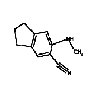 CNc1cc2c(cc1C#N)CCC2